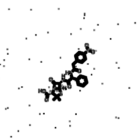 CC1(C)S[C@@H]2[C@H](NC(=O)C(NC(=O)Cc3ccc([N+](=O)[O-])cc3)c3ccccc3)C(=O)N2[C@H]1C(=O)O